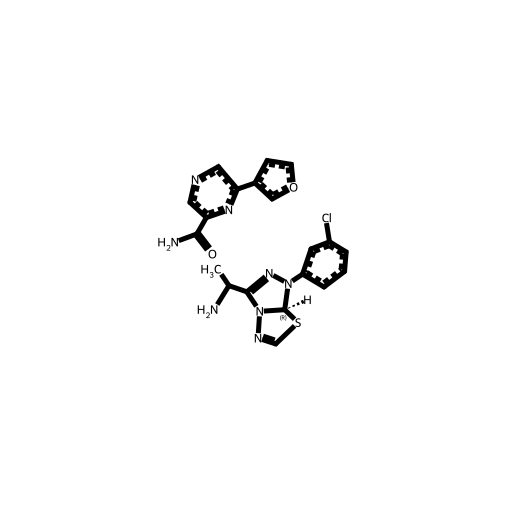 CC(N)C1=NN(c2cccc(Cl)c2)[C@H]2SC=NN12.NC(=O)c1cncc(-c2ccoc2)n1